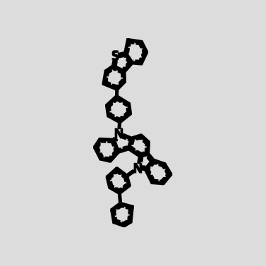 c1ccc(-c2cccc(-n3c4ccccc4c4ccc5c(c6ccccc6n5-c5ccc(-c6ccc7sc8ccccc8c7c6)cc5)c43)c2)cc1